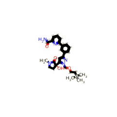 CN1CC[C@](O)(c2cc(-c3cccc(-c4cccc(C(N)=O)n4)c3)nn2COCC[Si](C)(C)C)C1=O